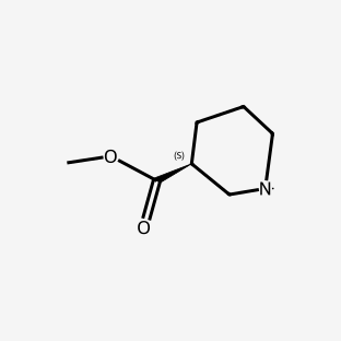 COC(=O)[C@H]1CCC[N]C1